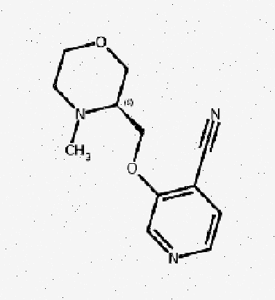 CN1CCOC[C@H]1COc1cnccc1C#N